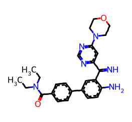 CCN(CC)C(=O)c1ccc(-c2ccc(N)c(C(=N)c3cc(N4CCOCC4)ncn3)c2)cc1